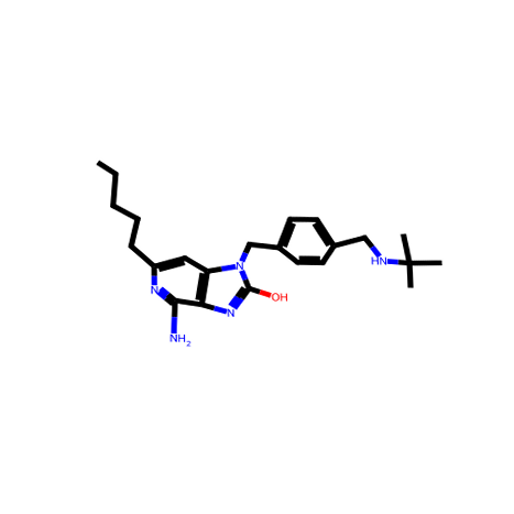 CCCCCc1cc2c(nc(O)n2Cc2ccc(CNC(C)(C)C)cc2)c(N)n1